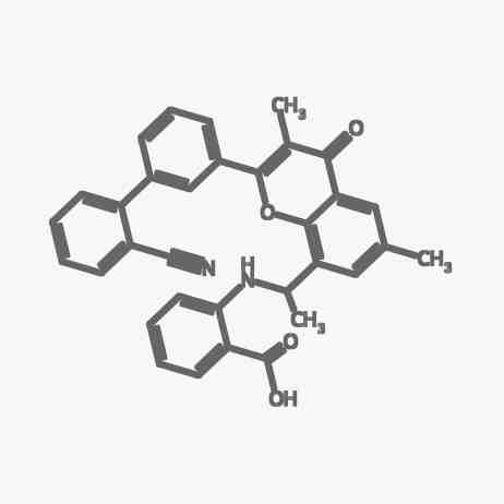 Cc1cc(C(C)Nc2ccccc2C(=O)O)c2oc(-c3cccc(-c4ccccc4C#N)c3)c(C)c(=O)c2c1